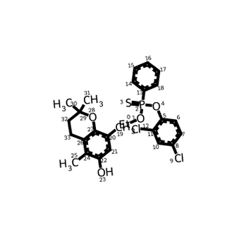 CCOP(=S)(Oc1ccc(Cl)cc1Cl)c1ccccc1.Cc1cc(O)c(C)c2c1OC(C)(C)CC2